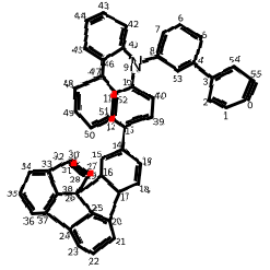 c1ccc(-c2cccc(N(c3ccc(C4=CC5C(C=C4)c4cccc6c4C54c5ccccc5-c5cccc-6c54)cc3)c3ccccc3C3C=CC=CC3)c2)cc#1